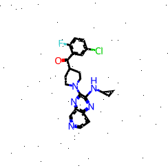 O=C(c1cc(Cl)ccc1F)C1CCN(c2nc3cnccc3nc2NC2CC2)CC1